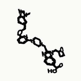 Cn1cnc2ccc(COc3cccc(N4CCN(Cc5nc6ccc(C(=O)O)cc6n5CC5CCO5)CC4)n3)cc21